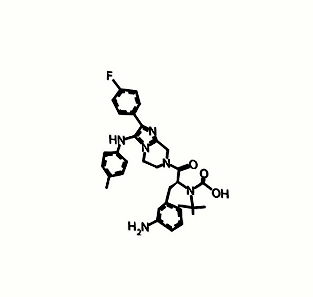 Cc1ccc(Nc2c(-c3ccc(F)cc3)nc3n2CCN(C(=O)[C@H](Cc2cccc(N)c2)N(C(=O)O)C(C)(C)C)C3)cc1